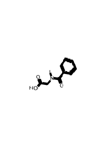 O=C(O)CN(I)C(=O)c1ccccc1